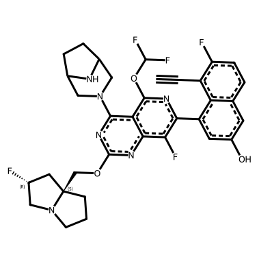 C#Cc1c(F)ccc2cc(O)cc(-c3nc(OC(F)F)c4c(N5CC6CCC(C5)N6)nc(OC[C@@]56CCCN5C[C@H](F)C6)nc4c3F)c12